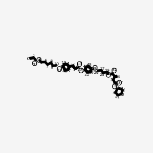 C=CC(=O)OCCCCCCOc1ccc(/C=C/C(=O)Oc2ccc(OCCCCOC(=O)C(=C)CC(=O)OC3CCCCC3)cc2)cc1